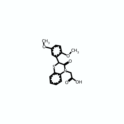 COc1ccc(OC)c(C2Sc3ccccc3N(CC(=O)O)C2=O)c1